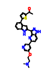 CC(=O)c1ccc(-c2cccc3[nH]c(-c4n[nH]c5ccc(-c6cncc(OCCN(C)C)c6)nc45)cc23)s1